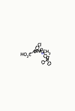 C/C(=C\C(=O)Nc1cc(Cl)ccc1OCCCC(=O)O)c1ccc2c(ccn2C(c2ccccc2)c2ccccc2)c1